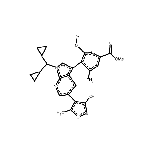 CCOc1nc(C(=O)OC)cc(C)c1-c1cn(C(C2CC2)C2CC2)c2ncc(-c3c(C)noc3C)cc12